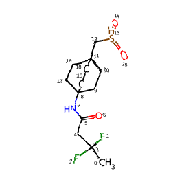 CC(F)(F)CC(=O)NC12CCC(C[SH](=O)=O)(CC1)CC2